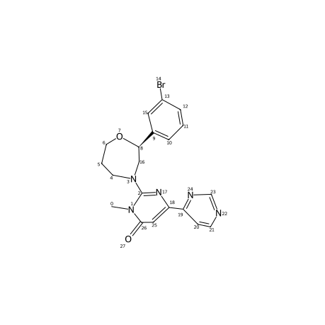 Cn1c(N2CCCO[C@@H](c3cccc(Br)c3)C2)nc(-c2ccncn2)cc1=O